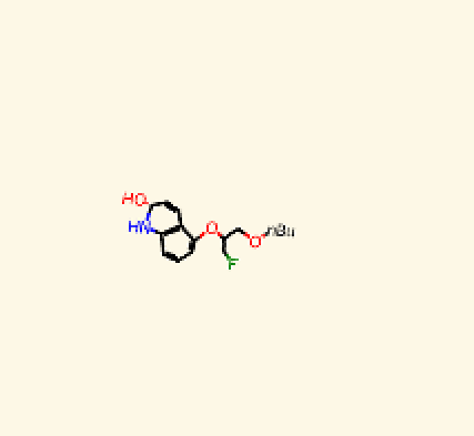 CCCCOCC(CF)Oc1cccc2c1C=C[C@@H](O)N2